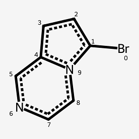 Brc1ccc2cnccn12